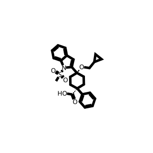 CS(=O)(=O)n1c2ccccc2cc1[C@]1(OCC2CC2)CC[C@](C(=O)O)(c2ccccc2)CC1